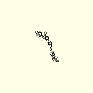 C[C@H]1CN(C(=O)OC(C)(C)C)CCN1CCCCN1CCN(c2ccc3c(c2)C(=O)N(C2CCC(=O)NC2=O)C3=O)CC1